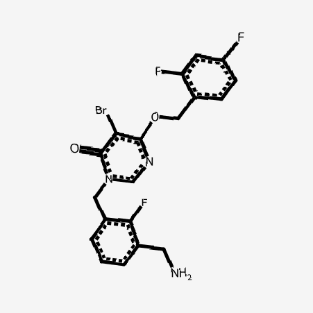 NCc1cccc(Cn2cnc(OCc3ccc(F)cc3F)c(Br)c2=O)c1F